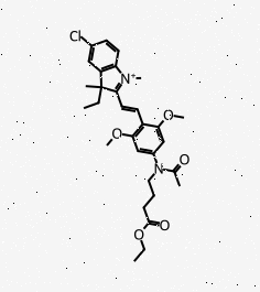 CCOC(=O)CCCN(C(C)=O)c1cc(OC)c(/C=C/C2=[N+](C)c3ccc(Cl)cc3C2(C)CC)c(OC)c1